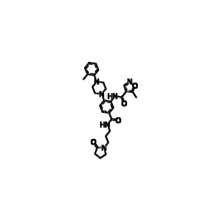 Cc1ccccc1N1CCN(c2ccc(C(=O)NCCCN3CCCC3=O)cc2NC(=O)c2cnoc2C)CC1